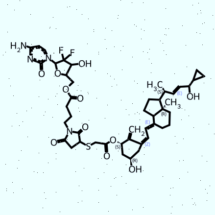 C=C1/C(=C\C=C2/CCC[C@@]3(C)C2CCC3[C@@H](C)/C=C/C(O)C2CC2)C[C@@H](O)C[C@@H]1OC(=O)CSC1CC(=O)N(CCCC(=O)OCC2OC(n3ccc(N)nc3=O)C(F)(F)C2O)C1=O